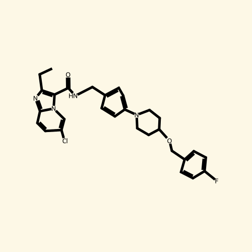 CCc1nc2ccc(Cl)cn2c1C(=O)NCc1ccc(N2CCC(OCc3ccc(F)cc3)CC2)cc1